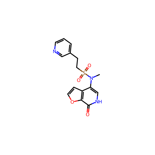 CN(c1c[nH]c(=O)c2occc12)S(=O)(=O)CCc1cccnc1